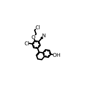 N#Cc1cc(C2=CCCc3cc(O)ccc32)cc(Cl)c1OCCCl